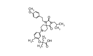 COc1ccc(CCN2C(=O)N(CC(C)C)C(=O)C23CCN(c2ccc(C)c(OC(C)(C)C(=O)O)c2)CC3)cc1